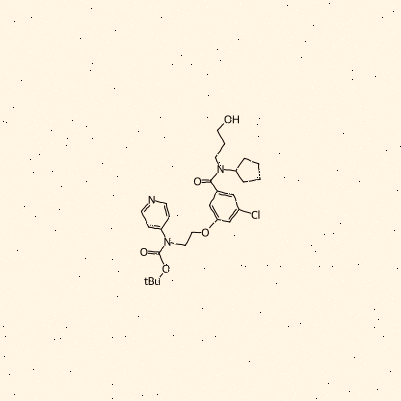 CC(C)(C)OC(=O)N(CCOc1cc(Cl)cc(C(=O)N(CCCO)C2CCCC2)c1)c1ccncc1